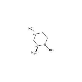 C[C@H]1C[C@H](C#N)CCN1C(C)(C)C